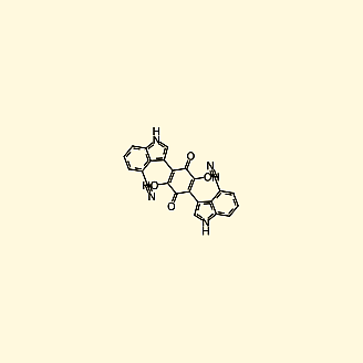 N#Cc1cccc2[nH]cc(C3=C(O)C(=O)C(c4c[nH]c5cccc(C#N)c45)=C(O)C3=O)c12